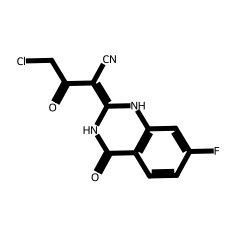 N#C/C(C(=O)CCl)=C1/NC(=O)c2ccc(F)cc2N1